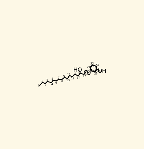 CCCCCCCCCCCCCCCC(O)COOc1cccc(O)c1